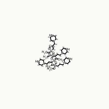 CO[Si](CCCN1CCNCC1)(OC)O[Si](CCCN1CCNCC1)(OC)O[Si](CCCN1CCNCC1)(OC)O[Si](CCCN1CCNCC1)(OC)OC